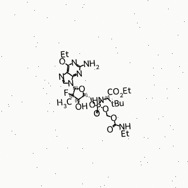 CCNC(=O)OCOP(=O)(N[C@H](C(=O)OCC)C(C)(C)C)OC[C@H]1O[C@@H](n2cnc3c(OCC)nc(N)nc32)[C@](C)(F)[C@@H]1O